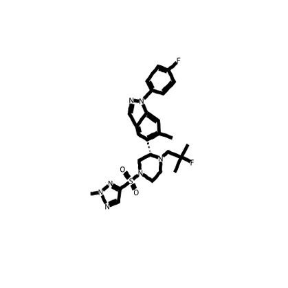 Cc1cc2c(cnn2-c2ccc(F)cc2)cc1[C@H]1CN(S(=O)(=O)c2cnn(C)n2)CCN1CC(C)(C)F